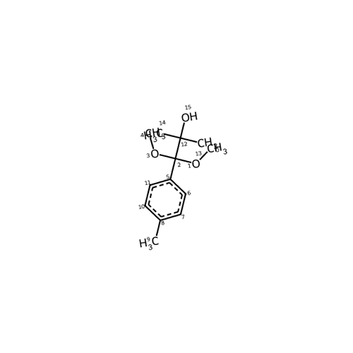 COC(OC)(c1ccc(C)cc1)C(C)(C)O